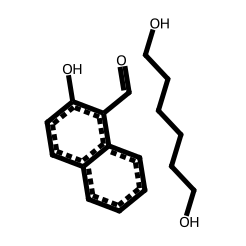 O=Cc1c(O)ccc2ccccc12.OCCCCCCO